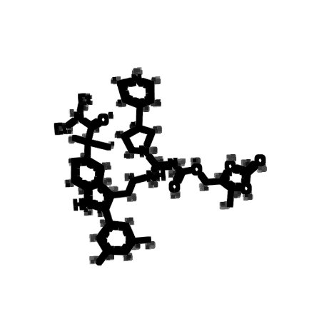 CCN(CC)C(=O)C(C)(C)c1ccc2[nH]c(-c3cc(C)cc(C)c3)c(CCN/C(=N\C(=O)OCc3oc(=O)oc3C)N3CCC(c4ccncc4)C3)c2c1